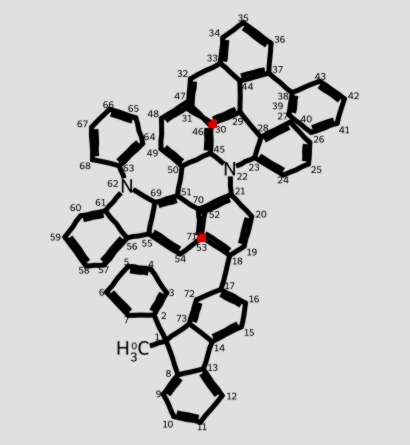 CC1(c2ccccc2)c2ccccc2-c2ccc(-c3ccc(N(c4ccccc4-c4cccc5cccc(-c6ccccc6)c45)c4ccccc4-c4cccc5c6ccccc6n(-c6ccccc6)c45)cc3)cc21